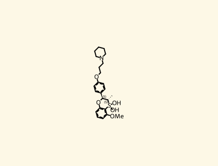 COc1cccc2c1S(O)(O)[C@@H](C)[C@H](c1ccc(OCCCN3CCCCC3)cc1)O2